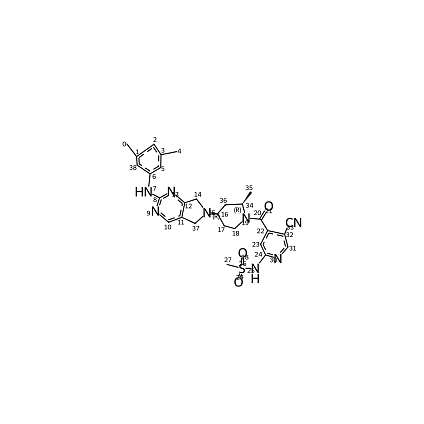 Cc1cc(C)cc(Nc2ncc3c(n2)CN([C@@H]2CCN(C(=O)c4cc(NS(C)(=O)=O)ncc4C#N)[C@H](C)C2)C3)c1